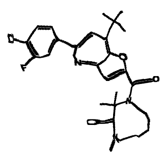 CN1CCCN(C(=O)c2cc3nc(-c4ccc(Cl)c(F)c4)cc(C(C)(C)C)c3o2)C(C)(C)C1=O